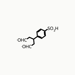 O=[C]CC(C[C]=O)c1ccc(S(=O)(=O)O)cc1